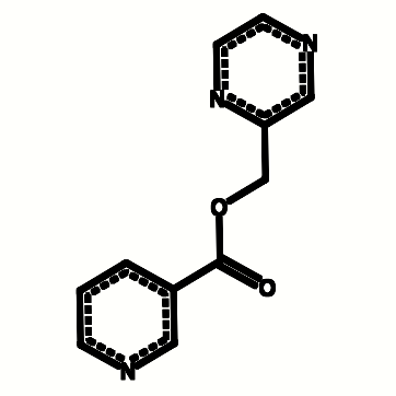 O=C(OCc1cnccn1)c1cccnc1